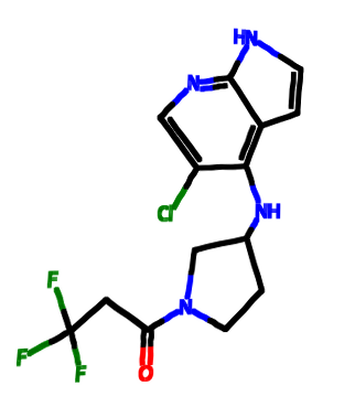 O=C(CC(F)(F)F)N1CCC(Nc2c(Cl)cnc3[nH]ccc23)C1